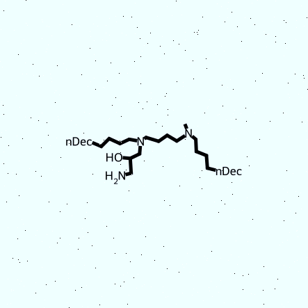 CCCCCCCCCCCCCCN(C)CCCCN(CCCCCCCCCCCCCC)CC(O)CN